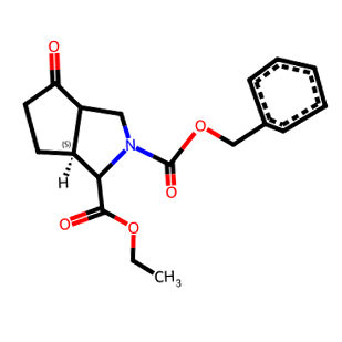 CCOC(=O)C1[C@H]2CCC(=O)C2CN1C(=O)OCc1ccccc1